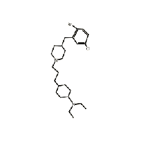 CCN(CC)C1CCC(CCCN2CCC(Cc3cc(Cl)ccc3Br)CC2)CC1